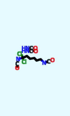 N=C=O.N=C=O.O=C=NCCCCCC(Cl)(Cl)N=C=O